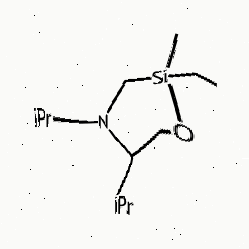 CC(C)C1O[Si](C)(C)CN1C(C)C